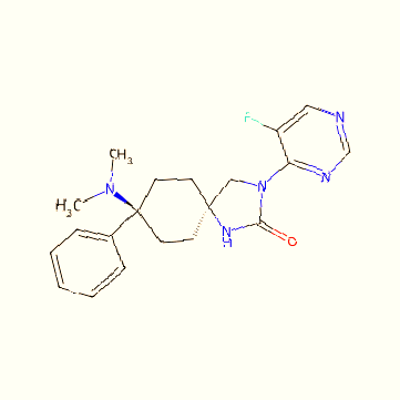 CN(C)[C@]1(c2ccccc2)CC[C@]2(CC1)CN(c1ncncc1F)C(=O)N2